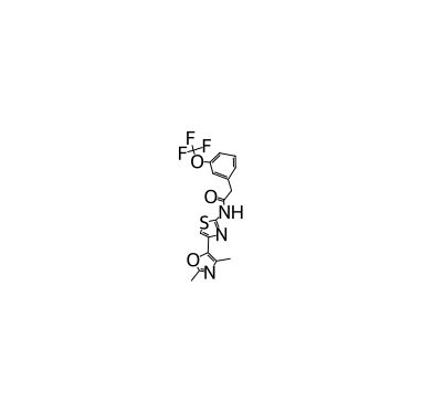 Cc1nc(C)c(-c2csc(NC(=O)Cc3cccc(OC(F)(F)F)c3)n2)o1